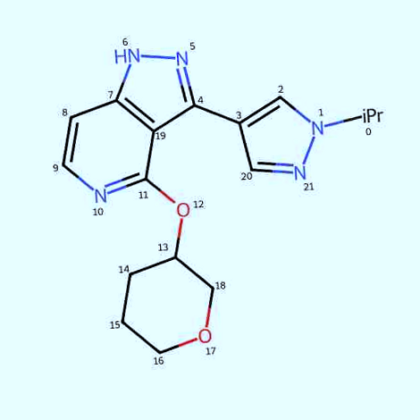 CC(C)n1cc(-c2n[nH]c3ccnc(OC4CCCOC4)c23)cn1